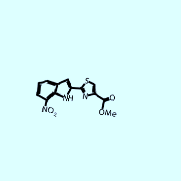 COC(=O)c1csc(-c2cc3cccc([N+](=O)[O-])c3[nH]2)n1